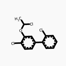 CC(Cl)Oc1cc(-c2c[c]ccc2Cl)ccc1Cl